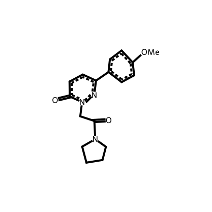 COc1ccc(-c2ccc(=O)n(CC(=O)N3CCCC3)n2)cc1